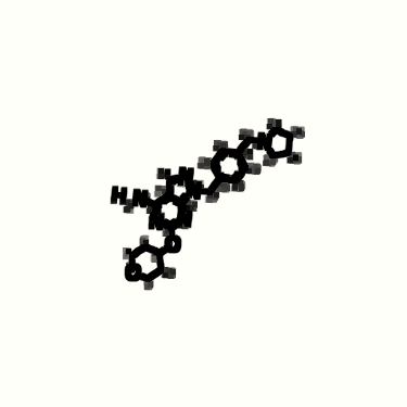 Nc1nc(OC2CCOCC2)nc2c1cnn2Cc1ccc(CN2CCCC2)cc1